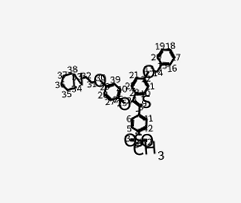 CS(=O)(=O)c1ccc(-c2sc3cc(OCc4ccccc4)ccc3c2Oc2ccc(OCCN3CCCCC3)cc2)cc1